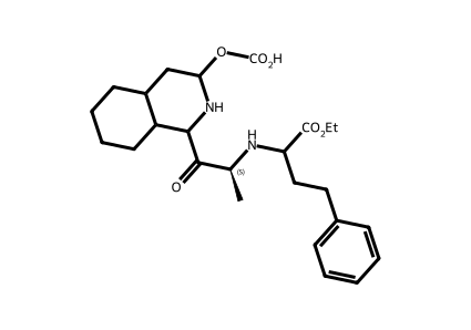 CCOC(=O)C(CCc1ccccc1)N[C@@H](C)C(=O)C1NC(OC(=O)O)CC2CCCCC21